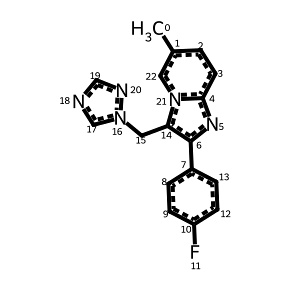 Cc1ccc2nc(-c3ccc(F)cc3)c(Cn3cncn3)n2c1